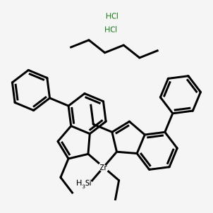 CCC1=Cc2c(-c3ccccc3)cccc2[CH]1[Zr]([SiH3])([CH2]C)[CH]1C(CC)=Cc2c(-c3ccccc3)cccc21.CCCCCC.Cl.Cl